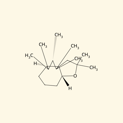 C[C@H]1C(C)(C)[C@H]2CCC[C@H]3OC(C)(C)CC23C1(C)C